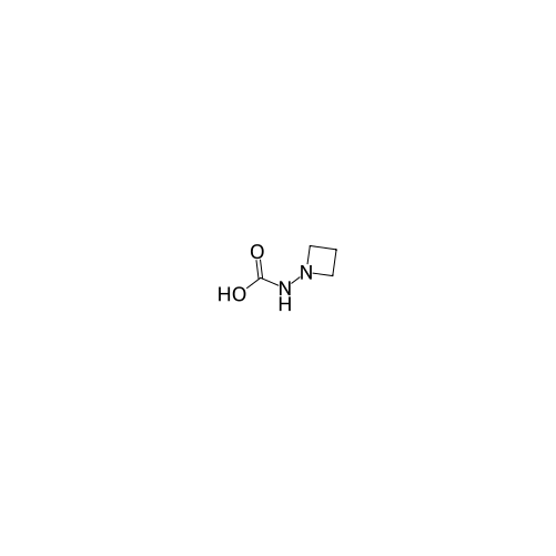 O=C(O)NN1CCC1